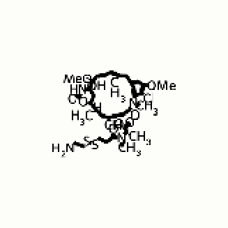 COc1cc2cc(c1Cl)N(C)C(=O)C[C@H](OC(=O)[C@H](C)N(C)C(=O)CCSSCCN)[C@@H](C)C[C@H](C)[C@@H]1C[C@@](O)(NC(=O)O1)[C@H](OC)/C=C/C=C(\C)C2